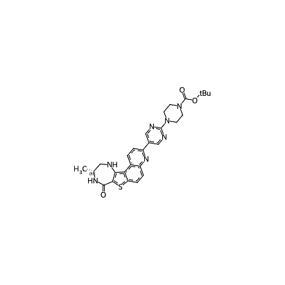 C[C@@H]1CNc2c(sc3ccc4nc(-c5cnc(N6CCN(C(=O)OC(C)(C)C)CC6)nc5)ccc4c23)C(=O)N1